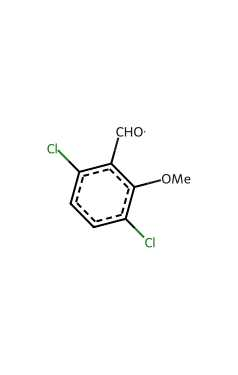 COc1c(Cl)ccc(Cl)c1[C]=O